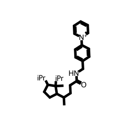 CC(C)C1CCC(C(C)CCC(=O)NCc2ccc(-[n+]3ccccc3)cc2)C1(C)C(C)C